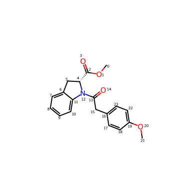 COC(=O)[C@H]1Cc2ccccc2N1C(=O)Cc1ccc(OC)cc1